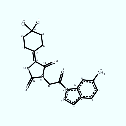 Nc1ccc2cnn(C(=O)CN3C(=O)SC(=C4CCC(Cl)(Cl)CC4)C3=O)c2c1